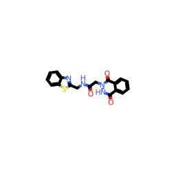 O=C(Cn1[nH]c(=O)c2ccccc2c1=O)NCc1nc2ccccc2s1